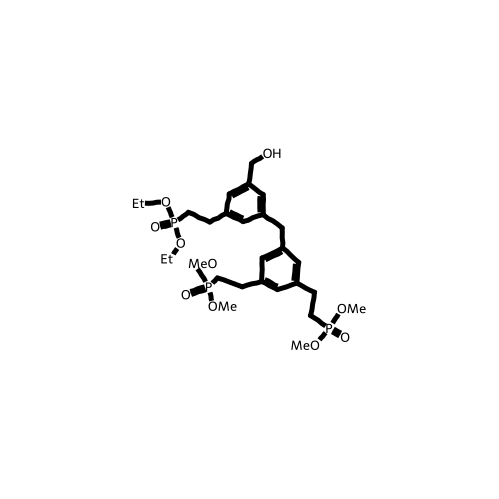 CCOP(=O)(CCc1cc(CO)cc(Cc2cc(CCP(=O)(OC)OC)cc(CCP(=O)(OC)OC)c2)c1)OCC